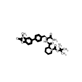 Cn1c(=O)oc2ccc(-c3ccc(C[C@H](NC(=O)C4CCCCN4C(=O)OC(C)(C)C)C(N)=O)cc3)cc21